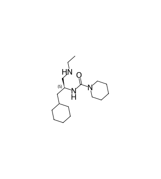 CCNC[C@H](CC1CCCCC1)NC(=O)N1CCCCC1